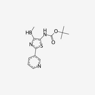 CBc1nc(-c2cccnc2)sc1NC(=O)OC(C)(C)C